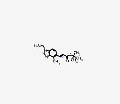 CCn1nnc2c(C)c(/C=C/C(=O)OC(C)(C)C)ccc21